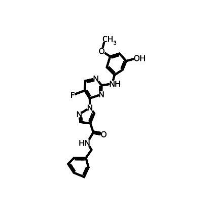 COc1cc(O)cc(Nc2ncc(F)c(-n3cc(C(=O)NCc4ccccc4)cn3)n2)c1